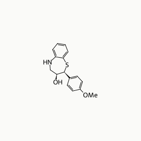 COc1ccc([C@@H]2Sc3ccccc3NC[C@@H]2O)cc1